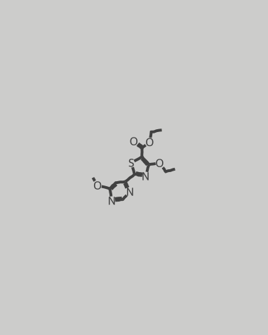 CCOC(=O)c1sc(-c2cc(OC)ncn2)nc1OCC